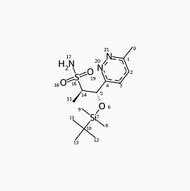 Cc1ccc([C@H](O[Si](C)(C)C(C)(C)C)[C@@H](C)S(N)(=O)=O)nn1